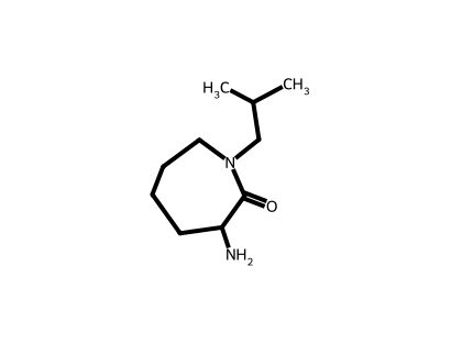 CC(C)CN1CCCCC(N)C1=O